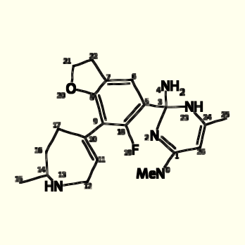 CNC1=NC(N)(c2cc3c(c(C4=CCNC(C)CC4)c2F)OCC3)NC(C)=C1